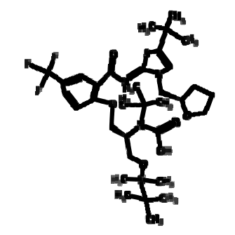 CC(C)(C)c1cn(C[C@H]2CCCO2)/c(=N/C(=O)c2cc(C(F)(F)F)ccc2OC[C@H](CO[Si](C)(C)C(C)(C)C)N(C(=O)O)C(C)(C)C)s1